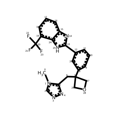 Cn1cnnc1CC1(c2cccc(-c3nc4cccc(C(F)(F)F)c4[nH]3)c2)COC1